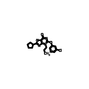 CCCn1c(Oc2cncc(Cl)c2)nc(=O)c2c1N=C(C1CCCC1)[N]2